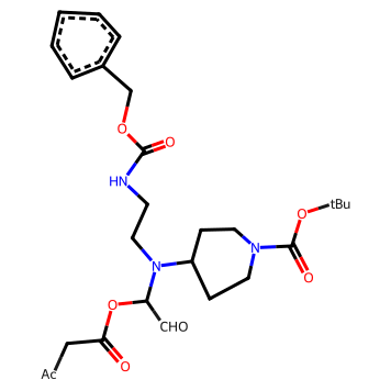 CC(=O)CC(=O)OC(C=O)N(CCNC(=O)OCc1ccccc1)C1CCN(C(=O)OC(C)(C)C)CC1